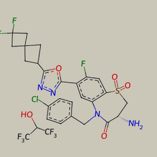 N[C@H]1CS(=O)(=O)c2cc(F)c(-c3nnc(C4CC5(C4)CC(F)(F)C5)o3)cc2N(Cc2ccc(Cl)cc2)C1=O.OC(C(F)(F)F)C(F)(F)F